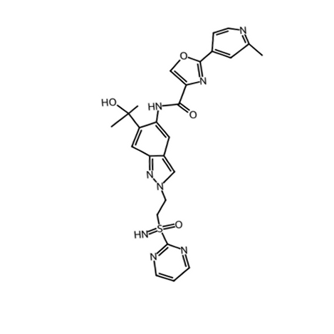 Cc1cc(-c2nc(C(=O)Nc3cc4cn(CCS(=N)(=O)c5ncccn5)nc4cc3C(C)(C)O)co2)ccn1